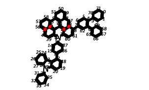 c1ccc(-c2ccc(-c3ccc(N(c4ccc(-c5cccc6c5c5ccccc5n6-c5ccccc5)cc4)c4ccccc4-c4cccc5cccc(-c6ccccc6)c45)cc3)cc2-c2ccccc2)cc1